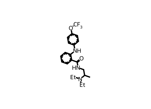 CCN(CC)C(C)CNC(=O)c1ccccc1Nc1ccc(OC(F)(F)F)cc1